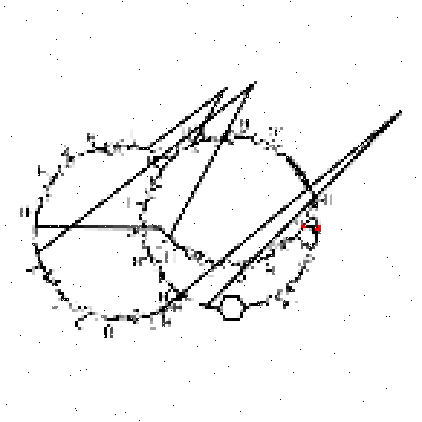 [O-][S+]1CC2=CC=C(CC2)[C@H]2CC3C[C@H](C2)[C@H]2CC[C@H](CC2)C[S+]([O-])C[C@@H]2CC[C@@H](CC2)[C@@H]2CC4CC(C2)[C@H]2CC[C@H](CC2)C[S@+]([O-])C[C@@H]2CC[C@@H](CC2)C2CC(C[C@@H](C2)[C@H]2CC[C@H](CC2)C1)[C@H]1CC[C@H](CC1)C[S+]([O-])C[C@@H]1CC[C@@H](CC1)[C@@H]1CC(C[C@@H](C1)[C@H]1CC[C@H](CC1)C[S+]([O-])C[C@@H]1CC[C@H]4CC1)C1CCC(CC1)C[S@+]([O-])CC1CCC3CC1